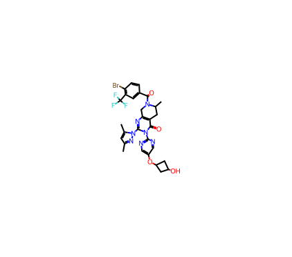 Cc1cc(C)n(-c2nc3c(c(=O)n2-c2ncc(OC4CC(O)C4)cn2)CC(C)N(C(=O)c2ccc(Br)c(C(F)(F)F)c2)C3)n1